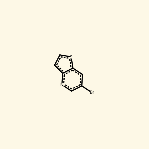 Brc1cnc2ccsc2c1